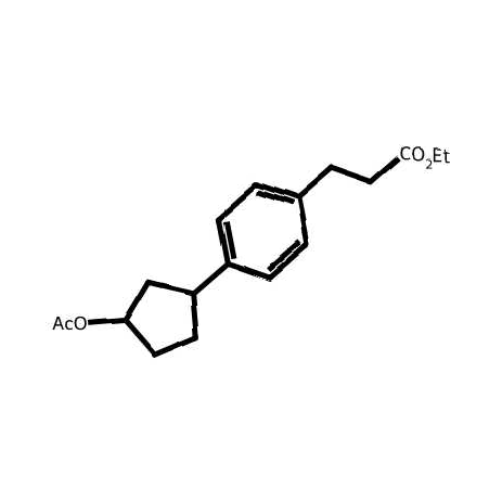 CCOC(=O)CCc1ccc(C2CCC(OC(C)=O)C2)cc1